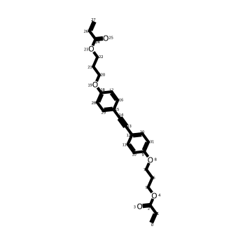 C=CC(=O)OCCCOc1ccc(C#Cc2ccc(OCCCOC(=O)C=C)cc2)cc1